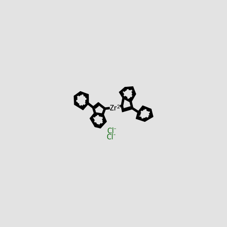 C1=C(c2ccccc2)c2ccccc2[CH]1[Zr+2][CH]1C=C(c2ccccc2)c2ccccc21.[Cl-].[Cl-]